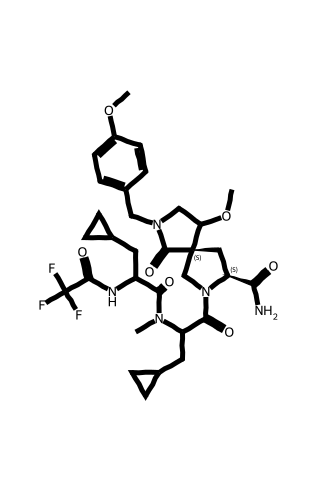 COc1ccc(CN2CC(OC)[C@@]3(C[C@@H](C(N)=O)N(C(=O)C(CC4CC4)N(C)C(=O)C(CC4CC4)NC(=O)C(F)(F)F)C3)C2=O)cc1